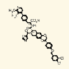 Cc1nccc(-c2ccc(C[C@H](NC(=O)[C@@H]3Cc4cc5c(cc4CN3C(=O)c3cnco3)O[C@@H](c3ccc(OCc4ccc(Cl)c(Cl)c4)cc3)CO5)C(=O)O)cc2)c1C